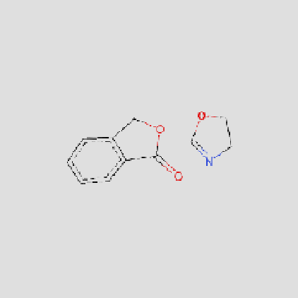 C1=NCCO1.O=C1OCc2ccccc21